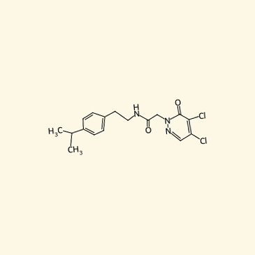 CC(C)c1ccc(CCNC(=O)Cn2ncc(Cl)c(Cl)c2=O)cc1